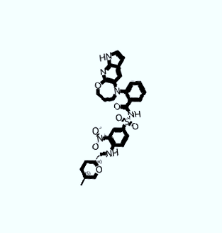 C[C@H]1CC[C@H](CNc2ccc(S(=O)(=O)NC(=O)c3ccccc3N3CCCOc4nc5[nH]ccc5cc43)cc2[N+](=O)[O-])OC1